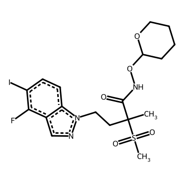 CC(CCn1ncc2c(F)c(I)ccc21)(C(=O)NOC1CCCCO1)S(C)(=O)=O